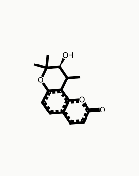 CC1c2c(ccc3ccc(=O)oc23)OC(C)(C)[C@H]1O